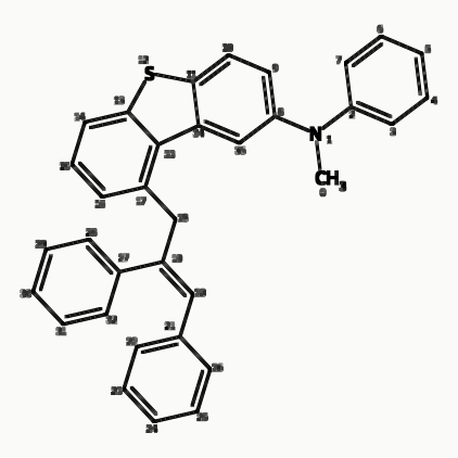 CN(c1ccccc1)c1ccc2sc3cccc(C/C(=C/c4ccccc4)c4ccccc4)c3c2c1